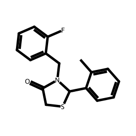 Cc1ccccc1C1SCC(=O)N1Cc1ccccc1F